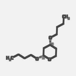 CCCCO[C@@H]1CCO[C@H](OCCCC)C1